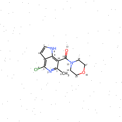 Cc1nc(Cl)c2cc[nH]c2c1C(=O)N1CCOCC1